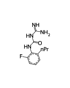 CCCc1cccc(F)c1NC(=O)NC(=N)N